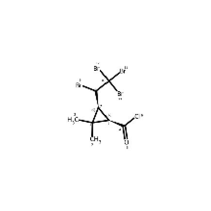 CC1(C)[C@H](C(=O)Cl)[C@@H]1C(Br)C(Br)(Br)Br